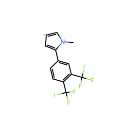 Cn1c[c]cc1-c1ccc(C(F)(F)F)c(C(F)(F)F)c1